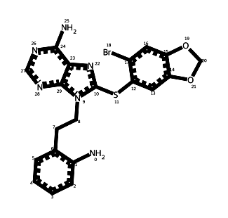 Nc1ccccc1CCn1c(Sc2cc3c(cc2Br)OCO3)nc2c(N)ncnc21